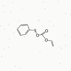 C=COC(=O)OSc1ccccc1